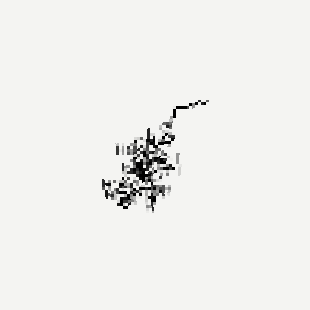 CCCCCC/C=C\CCCOc1cccc(C(=O)NC2C(O)[C@H](O)C(CO)O[C@H]2O[C@@H]2C(CO)O[C@@H](O[C@@H]3C(CO)O[C@@H](O[C@@H]4C(CO)O[C@@H](O)C(NC(C)=O)C4O)C(NC(C)=O)C3O)C(NC(C)=O)C2O)c1